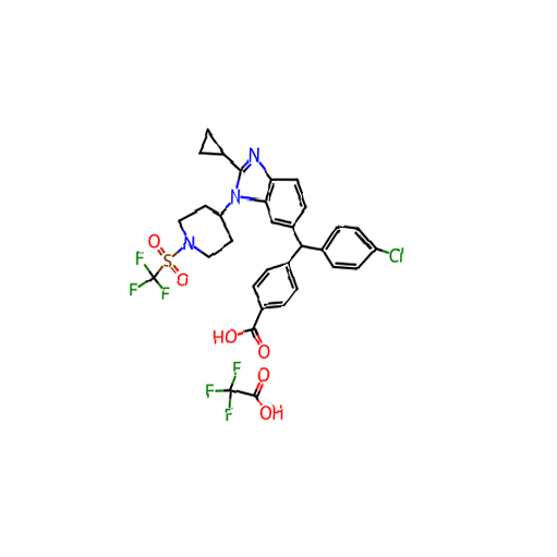 O=C(O)C(F)(F)F.O=C(O)c1ccc(C(c2ccc(Cl)cc2)c2ccc3nc(C4CC4)n(C4CCN(S(=O)(=O)C(F)(F)F)CC4)c3c2)cc1